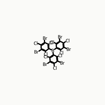 Clc1c(Br)c(Cl)c(B(c2c(Cl)c(Br)c(Cl)c(Br)c2Cl)c2c(Cl)c(Br)c(Cl)c(Br)c2Cl)c(Cl)c1Br